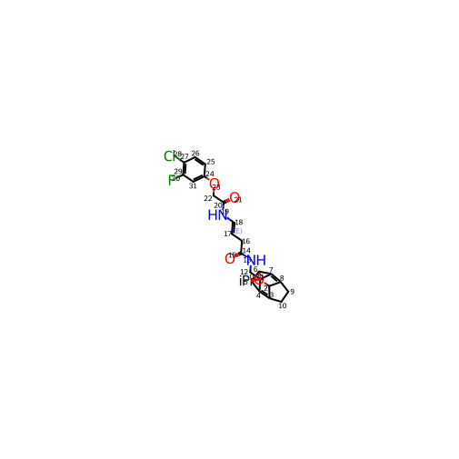 CC(C)OC1C2=C3CCC(=C1CC2)C3CNC(=O)C/C=C/NC(=O)COc1ccc(Cl)c(F)c1